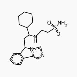 NS(=O)(=O)CCNC(CC1c2ccccc2-c2cncn21)C1CCCCC1